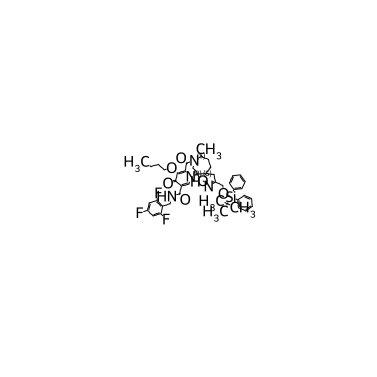 CCCCOc1c2n(cc(C(=O)NCc3c(F)cc(F)cc3F)c1=O)[C@@H]1CN(C2=O)[C@@H](C)CC[C@]12CC(CO[Si](c1ccccc1)(c1ccccc1)C(C)(C)C)=NO2